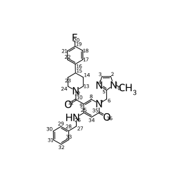 Cn1ccnc1Cn1cc(C(=O)N2CCC(c3ccc(F)cc3)CC2)c(NCc2ccccc2)cc1=O